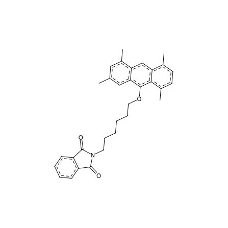 Cc1cc(C)c2cc3c(C)ccc(C)c3c(OCCCCCCN3C(=O)c4ccccc4C3=O)c2c1